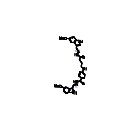 COc1ccc2[nH]cc(/C=N/NC(=O)CCCNc3ccc(C(=O)N/N=C/c4c[nH]c5ccc(OC)cc45)cc3)c2c1